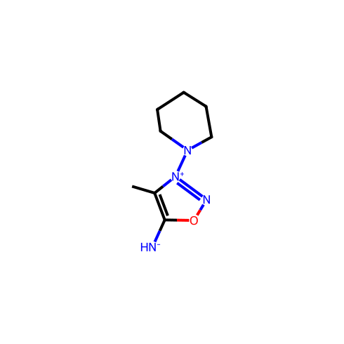 Cc1c([NH-])on[n+]1N1CCCCC1